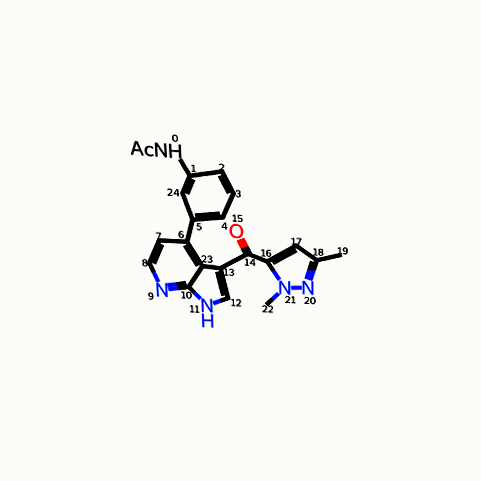 CC(=O)Nc1cccc(-c2ccnc3[nH]cc(C(=O)c4cc(C)nn4C)c23)c1